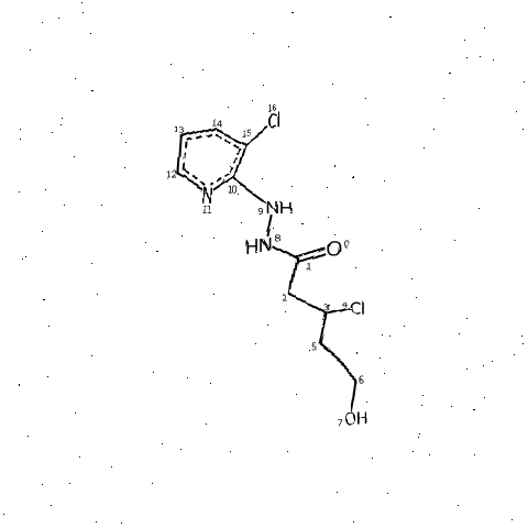 O=C(CC(Cl)CCO)NNc1ncccc1Cl